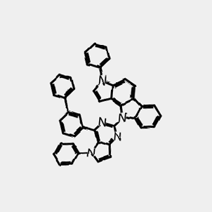 c1ccc(-c2cccc(-c3nc(-n4c5ccccc5c5ccc6c(ccn6-c6ccccc6)c54)nc4ccn(-c5ccccc5)c34)c2)cc1